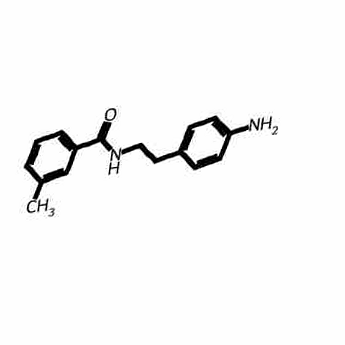 Cc1cccc(C(=O)NCCc2ccc(N)cc2)c1